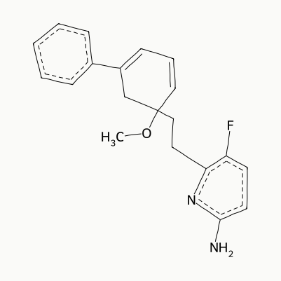 COC1(CCc2nc(N)ccc2F)C=CC=C(c2ccccc2)C1